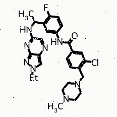 CCn1cc2ncc(N[C@@H](C)c3cc(NC(=O)c4ccc(CN5CCN(C)CC5)c(Cl)c4)ccc3F)nc2n1